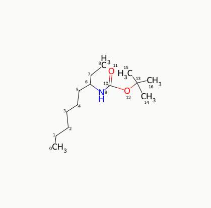 CCCCCCC(CC)NC(=O)OC(C)(C)C